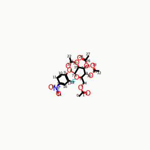 CC(=O)OCC1O[C@@H](Oc2ccc([N+](=O)[O-])cc2F)C(OC(C)=O)[C@@H](OC(C)=O)[C@@H]1OC(C)=O